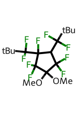 COC1(OC)C(F)(F)C(C(F)(F)C(C)(C)C)C(F)(C(F)(F)C(C)(C)C)C1(F)F